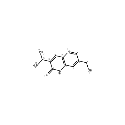 O=c1[nH]c2cc(CO)cnc2cc1C(P)P